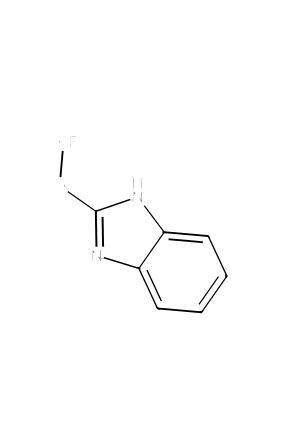 FC(F)(F)Oc1nc2ccccc2[nH]1